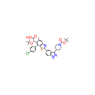 Cc1cc2nc(-c3ccc4c(c3)c(C3CCN(C(=O)OC(C)(C)C)CC3)nn4C)sc2c(-c2ccc(Cl)cc2)c1C(OC(C)(C)C)C(=O)O